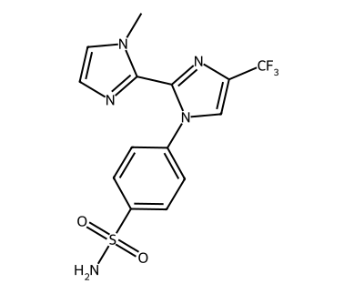 Cn1ccnc1-c1nc(C(F)(F)F)cn1-c1ccc(S(N)(=O)=O)cc1